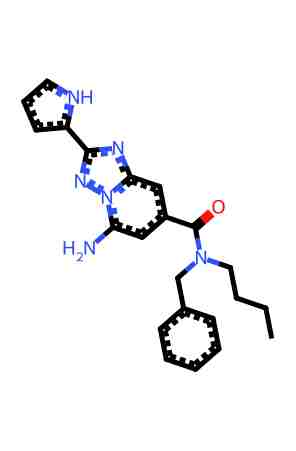 CCCCN(Cc1ccccc1)C(=O)c1cc(N)n2nc(-c3ccc[nH]3)nc2c1